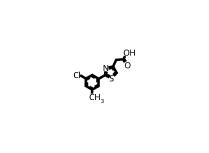 Cc1cc(Cl)cc(-c2nc(CC(=O)O)cs2)c1